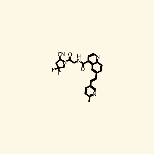 Cc1ccc(C=Cc2ccc3nccc(C(=O)NCC(=O)N4CC(F)(F)CC4C#N)c3c2)cn1